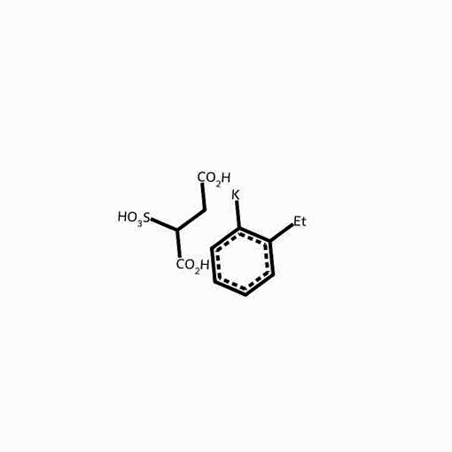 CCc1cccc[c]1[K].O=C(O)CC(C(=O)O)S(=O)(=O)O